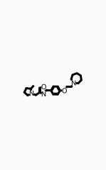 CC1CCCN1Cc1coc(-c2ccc(OCCN3CCCCCC3)cc2)n1